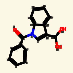 O=C(c1ccccc1)n1cc(B(O)O)c2ccccc21